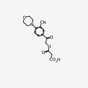 N#Cc1cc(C(=O)COC(=O)CC(=O)O)ccc1N1CCOCC1